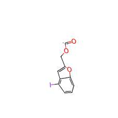 O=[C]OCc1cc2c(I)cccc2o1